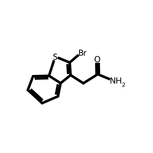 NC(=O)Cc1c(Br)sc2ccccc12